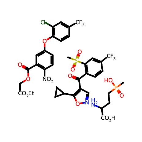 CCOC(=O)COC(=O)c1cc(Oc2ccc(C(F)(F)F)cc2Cl)ccc1[N+](=O)[O-].CP(=O)(O)CCC(N)C(=O)O.CS(=O)(=O)c1cc(C(F)(F)F)ccc1C(=O)c1cnoc1C1CC1